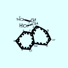 OO.OO.c1ccc2ccccc2c1